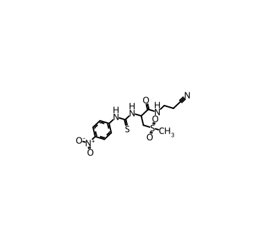 CS(=O)(=O)CC(NC(=S)Nc1ccc([N+](=O)[O-])cc1)C(=O)NCCC#N